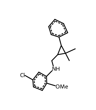 COc1ccc(Cl)cc1NCC1C(c2ccccc2)C1(C)C